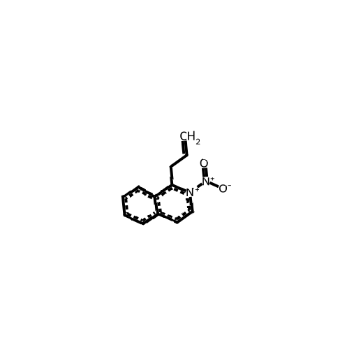 C=CCc1c2ccccc2cc[n+]1[N+](=O)[O-]